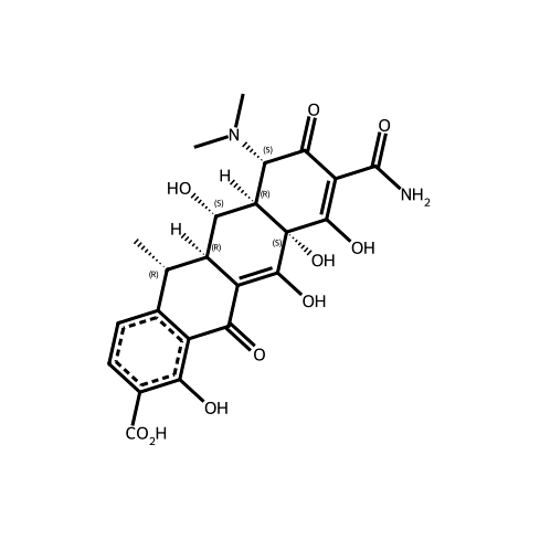 C[C@H]1c2ccc(C(=O)O)c(O)c2C(=O)C2=C(O)[C@]3(O)C(O)=C(C(N)=O)C(=O)[C@@H](N(C)C)[C@@H]3[C@@H](O)[C@@H]21